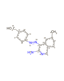 Cc1ccc2cnc(N)c(/N=N/c3ccc(C(=O)O)cc3)c2c1